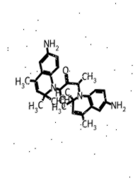 CC1=CC(C)(C)N(C(C)C(=O)C(C)N2c3ccc(N)cc3C(C)=CC2(C)C)c2ccc(N)cc21